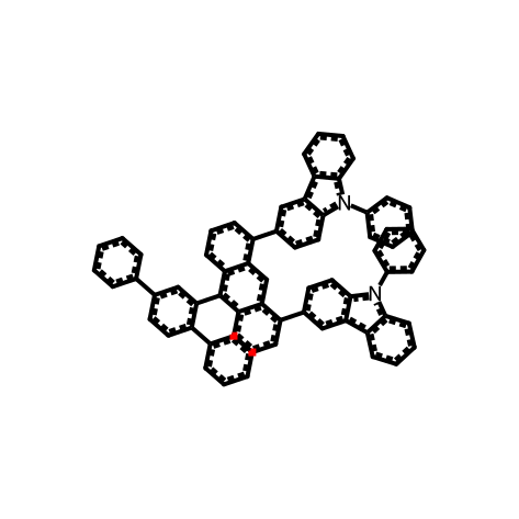 c1ccc(-c2ccc(-c3ccccc3)c(-c3c4cccc(-c5ccc6c(c5)c5ccccc5n6-c5ccccc5)c4cc4c(-c5ccc6c(c5)c5ccccc5n6-c5ccccc5)cccc34)c2)cc1